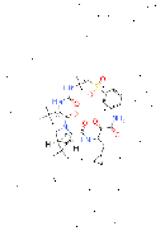 CC(C)(CS(=O)(=O)c1ccccc1)NC(=O)N[C@H](C(=O)N1C[C@H]2[C@@H]([C@H]1C(=O)NC(CC1CC1)C(=O)C(N)=O)C2(C)C)C(C)(C)C